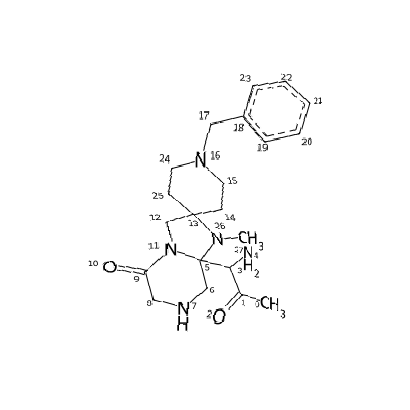 CC(=O)C(N)C12CNCC(=O)N1CC1(CCN(Cc3ccccc3)CC1)N2C